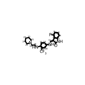 O=C1Nc2cccc(F)c2C1=CNc1ccc(NCCN2CCCCC2)c(C(F)(F)F)c1